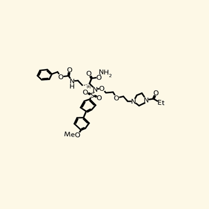 CCC(=O)N1CCN(CCOCCON([C@H](CCNC(=O)OCc2ccccc2)C(=O)ON)S(=O)(=O)c2ccc(-c3ccc(OC)cc3)cc2)CC1